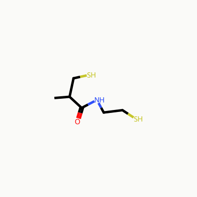 CC(CS)C(=O)NCCS